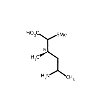 CSC(C(=O)O)[C@H](C)CC(C)N